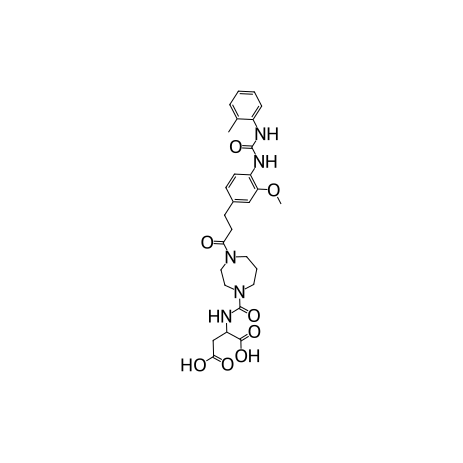 COc1cc(CCC(=O)N2CCCN(C(=O)NC(CC(=O)O)C(=O)O)CC2)ccc1NC(=O)Nc1ccccc1C